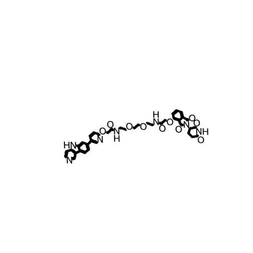 O=C(COc1ccc(-c2ccc3c(c2)[nH]c2ccncc23)cn1)NCCOCCOCCNC(=O)COc1cccc2c1C(=O)N(C1CCC(=O)NC1=O)C2=O